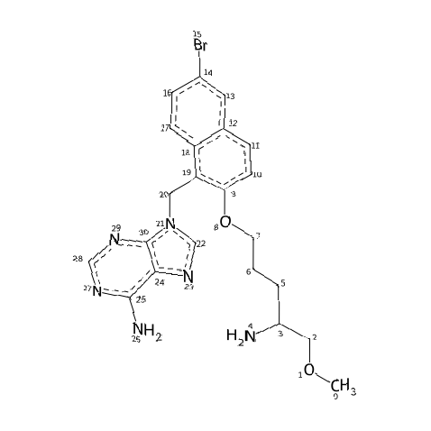 COCC(N)CCCOc1ccc2cc(Br)ccc2c1Cn1cnc2c(N)ncnc21